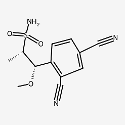 CO[C@@H](c1ccc(C#N)cc1C#N)[C@H](C)S(N)(=O)=O